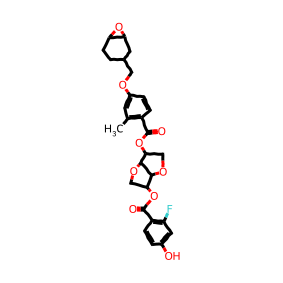 Cc1cc(OCC2CCC3OC3C2)ccc1C(=O)OC1COC2C(OC(=O)c3ccc(O)cc3F)COC12